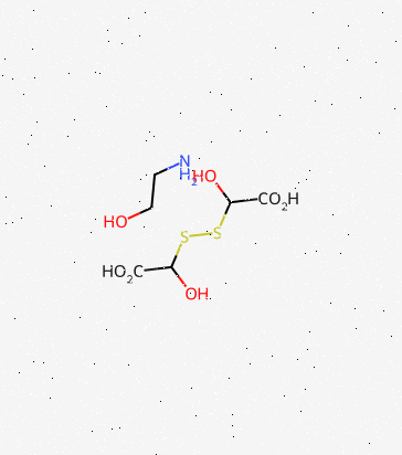 NCCO.O=C(O)C(O)SSC(O)C(=O)O